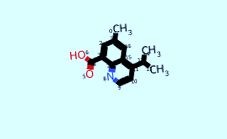 Cc1cc(C(=O)O)c2nccc(C(C)C)c2c1